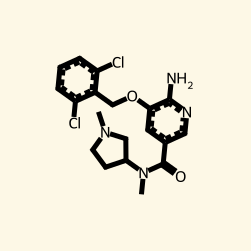 CN1CCC(N(C)C(=O)c2cnc(N)c(OCc3c(Cl)cccc3Cl)c2)C1